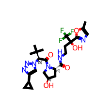 Cc1cnc(C(O)(CCNC(=O)[C@@H]2C[C@@H](O)CN2C(=O)[C@@H](n2cc(C3CC3)nn2)C(C)(C)C)C(F)(F)F)o1